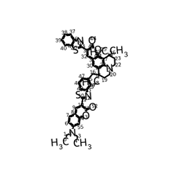 CCN(CC)c1ccc2cc(-c3nc4cc(C[C@@]5(C)CCN6CCC(C)(C)c7c6c5cc5cc(-c6nc8ccccc8s6)c(=O)oc75)ccc4s3)c(=O)oc2c1